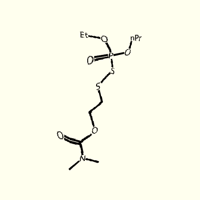 CCCOP(=O)(OCC)SSCCOC(=O)N(C)C